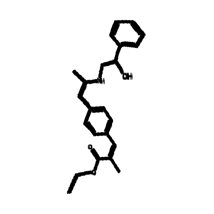 CCOC(=O)C(C)=Cc1ccc(CC(C)NCC(O)c2ccccc2)cc1